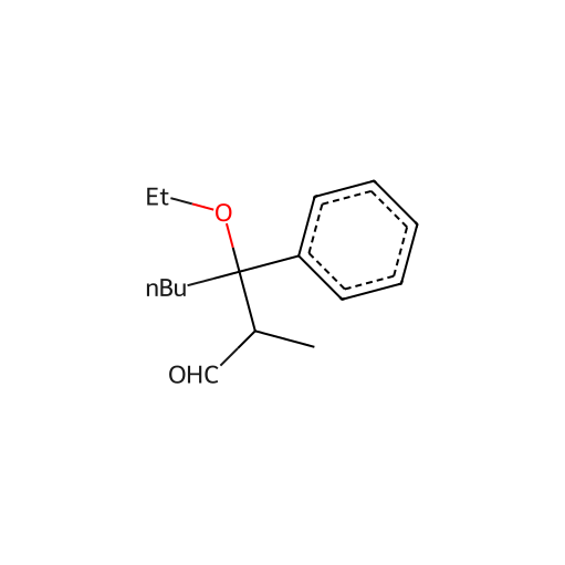 CCCCC(OCC)(c1ccccc1)C(C)C=O